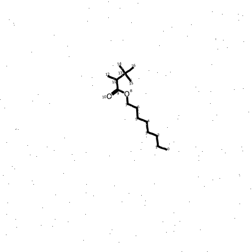 CCCCCCCCOC(=O)C(C)C(C)(C)C